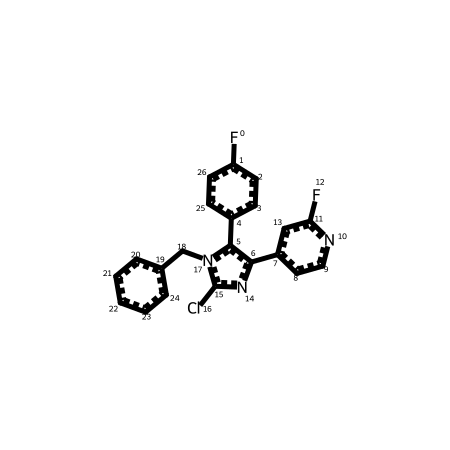 Fc1ccc(-c2c(-c3ccnc(F)c3)nc(Cl)n2Cc2ccccc2)cc1